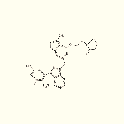 Cc1ccn2nc(Cn3nc(-c4cc(O)cc(F)c4)c4c(N)ncnc43)nc(OCCN3CCCC3=O)c12